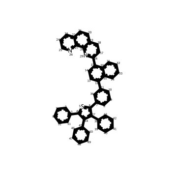 c1ccc(-c2sc(-c3cccc(-c4ccc(-c5ccc6ccc7cccnc7c6n5)c5ccccc45)c3)c(-c3ccccc3)c2-c2ccccc2)cc1